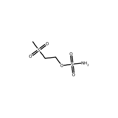 CS(=O)(=O)CCOS(N)(=O)=O